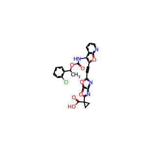 CC(OC(=O)Nc1c(C#Cc2nc3nc(C4(C(=O)O)CC4)oc3o2)oc2ncccc12)c1ccccc1Cl